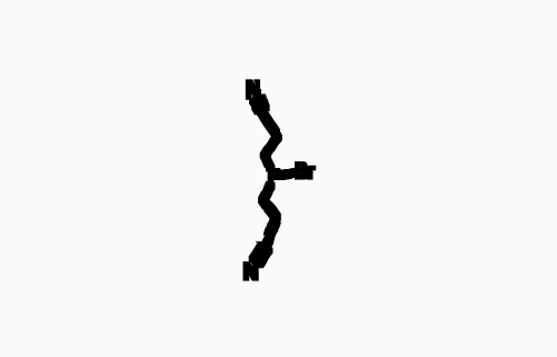 N#CCCP(Br)CCC#N